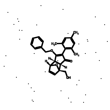 Cc1cc(C)c(C2=C(OCc3ccccc3)[C@H]3[C@@H](C2=O)[C@]2(CO)C=C[C@H]3O2)c(C)c1